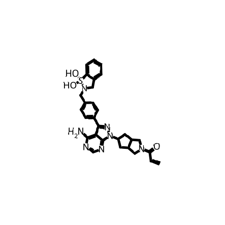 C=CC(=O)N1CC2CC(n3nc(-c4ccc(CN5Cc6ccccc6S5(O)O)cc4)c4c(N)ncnc43)CC2C1